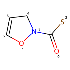 O=C([S])N1CC=CO1